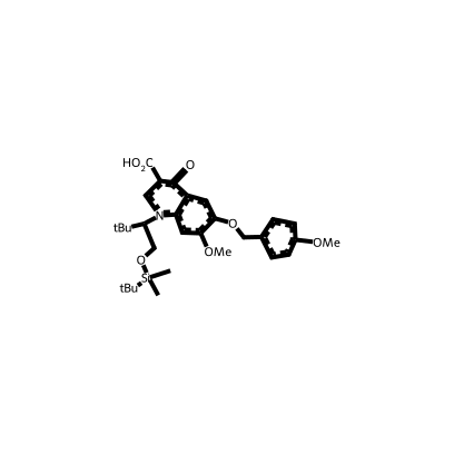 COc1ccc(COc2cc3c(=O)c(C(=O)O)cn(C(CO[Si](C)(C)C(C)(C)C)C(C)(C)C)c3cc2OC)cc1